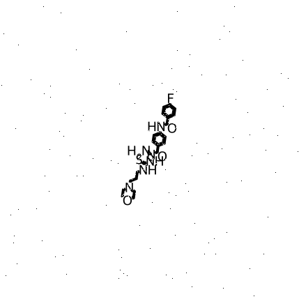 NN(NC(=S)NCCCN1CCOCC1)C(=O)c1ccc(NC(=O)c2ccc(F)cc2)cc1